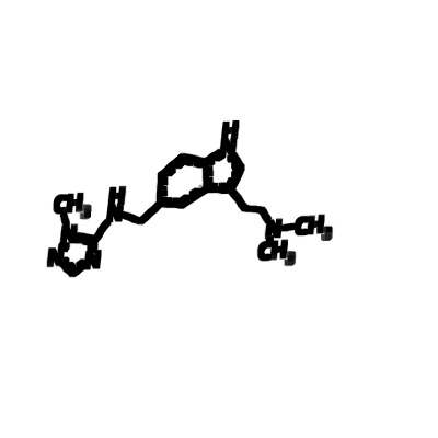 CN(C)CCc1c[nH]c2ccc(CNc3ncnn3C)cc12